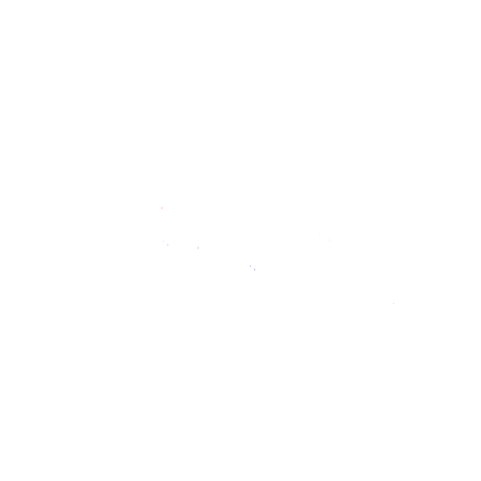 Cc1ccc(S(=O)(=O)N2CCC3(CC2)CN(CC2(O)CCOCC2)C3)c(C)c1